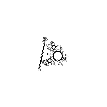 CCCCCCCCCCCCCCCCOS(=O)(=O)O.CC[C@H]1OC(=O)[C@H](C)[C@@H](O[C@H]2C[C@@](C)(OC)[C@@H](O)[C@H](C)O2)[C@H](C)[C@@H](O[C@@H]2O[C@H](C)C[C@H](N(C)C)[C@H]2O)[C@](C)(O)C[C@@H](C)C(=O)[C@H](C)[C@@H](O)[C@]1(C)O